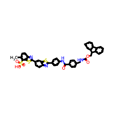 Cc1ccc2nc(-c3ccc4nc(-c5ccc(NC(=O)c6ccc(CNC(=O)OCC7c8ccccc8-c8ccccc87)cc6)cc5)sc4c3)sc2c1S(=O)(=O)O